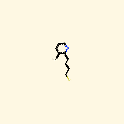 C=c1cccn/c1=C/C=C/CS